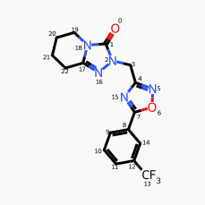 O=c1n(Cc2noc(-c3cccc(C(F)(F)F)c3)n2)nc2n1CCCC2